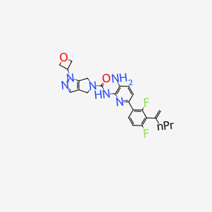 C=C(CCC)c1c(F)ccc(-c2ccc(N)c(NC(=O)N3Cc4cnn(C5COC5)c4C3)n2)c1F